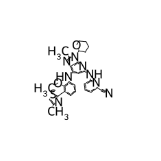 COc1c(Nc2cc(Nc3cccc(C#N)n3)nc3c2nc(C)n3C2CCCCO2)cccc1-c1nc(C)cs1